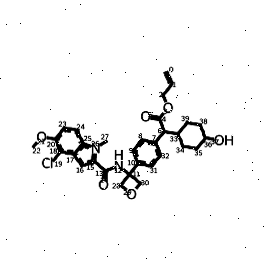 C=CCOC(=O)C(c1ccc(C2(NC(=O)c3cc4c(Cl)c(OC)ccc4n3C)COC2)cc1)C1CCC(O)CC1